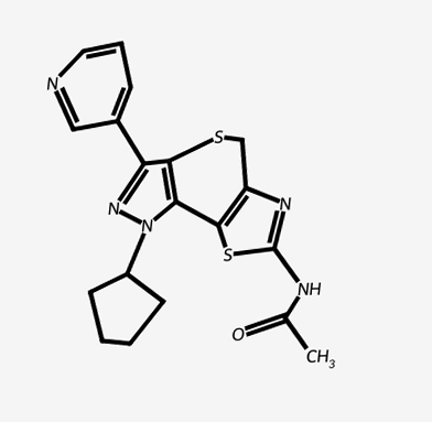 CC(=O)Nc1nc2c(s1)-c1c(c(-c3cccnc3)nn1C1CCCC1)SC2